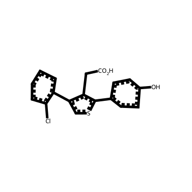 O=C(O)Cc1c(-c2ccccc2Cl)csc1-c1ccc(O)cc1